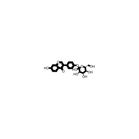 O=c1c(-c2ccc(OC3(O)O[C@H](CO)[C@@H](O)[C@H](O)[C@H]3O)cc2)coc2cc(O)ccc12